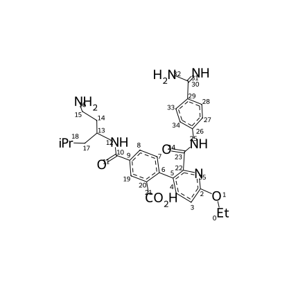 CCOc1ccc(-c2ccc(C(=O)NC(CCN)CC(C)C)cc2C(=O)O)c(C(=O)Nc2ccc(C(=N)N)cc2)n1